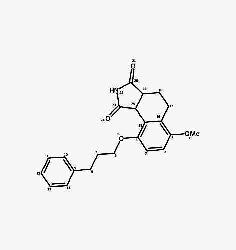 COc1ccc(OCCCc2ccccc2)c2c1CCC1C(=O)NC(=O)C21